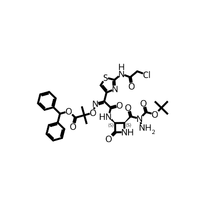 CC(C)(C)OC(=O)N(N)C(=O)[C@H]1NC(=O)[C@H]1NC(=O)C(=NOC(C)(C)C(=O)OC(c1ccccc1)c1ccccc1)c1csc(NC(=O)CCl)n1